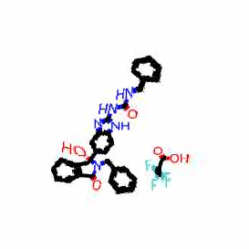 O=C(NCc1ccccc1)Nc1nc2cc(C3(O)c4ccccc4C(=O)N3Cc3ccccc3)ccc2[nH]1.O=C(O)C(F)(F)F